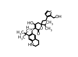 CC(C)C1(CCc2ccsc2CO)CC(O)=C(Sc2cc3c(cc2C(C)(C)C)NCCC3)C(=O)O1